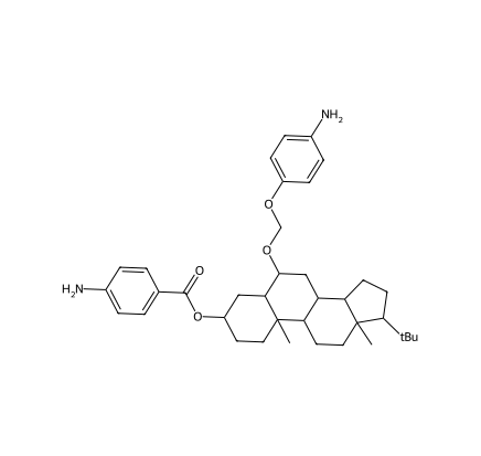 CC(C)(C)C1CCC2C3CC(OCOc4ccc(N)cc4)C4CC(OC(=O)c5ccc(N)cc5)CCC4(C)C3CCC21C